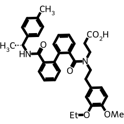 CCOc1cc(CCN(CCC(=O)O)C(=O)c2ccccc2-c2ccccc2C(=O)N[C@H](C)c2ccc(C)cc2)ccc1OC